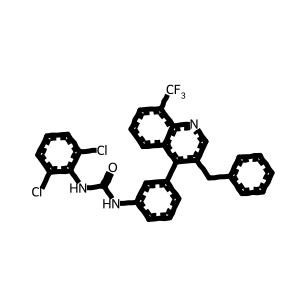 O=C(Nc1cccc(-c2c(Cc3ccccc3)cnc3c(C(F)(F)F)cccc23)c1)Nc1c(Cl)cccc1Cl